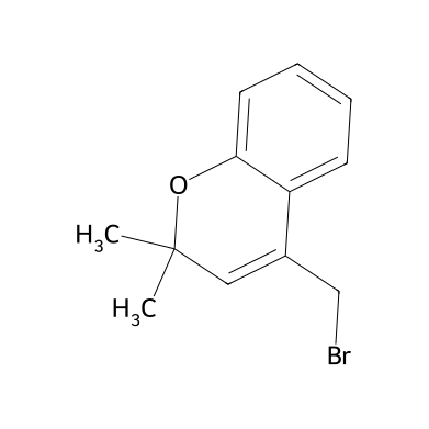 CC1(C)C=C(CBr)c2ccccc2O1